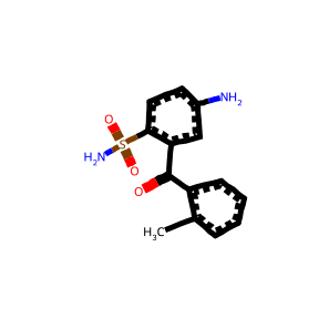 Cc1ccccc1C(=O)c1cc(N)ccc1S(N)(=O)=O